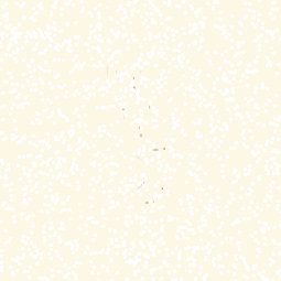 CC[N+](CC)=C1C=C/C(=C2\C(=O)C(c3[nH]c(C)c(C)c3C)=C2[O-])C(C)=C1